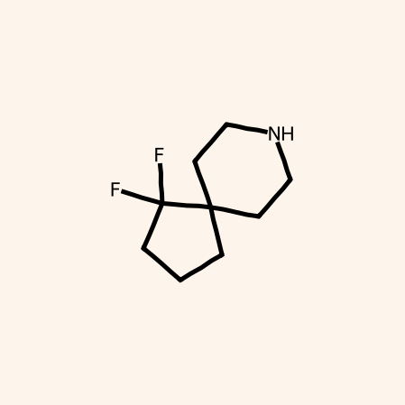 FC1(F)CCCC12CCNCC2